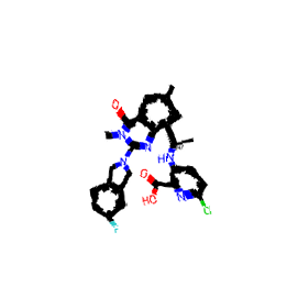 Cc1cc([C@@H](C)Nc2ccc(Cl)nc2C(=O)O)c2nc(N3Cc4ccc(F)cc4C3)n(C)c(=O)c2c1